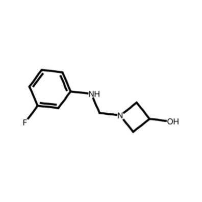 OC1CN(CNc2cccc(F)c2)C1